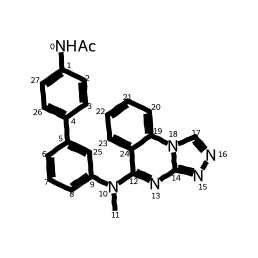 CC(=O)Nc1ccc(-c2cccc(N(C)c3nc4nncn4c4ccccc34)c2)cc1